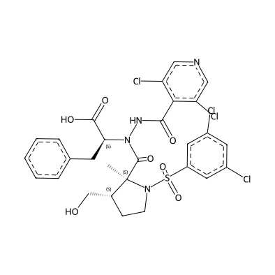 C[C@@]1(C(=O)N(NC(=O)c2c(Cl)cncc2Cl)[C@@H](Cc2ccccc2)C(=O)O)[C@@H](CO)CCN1S(=O)(=O)c1cc(Cl)cc(Cl)c1